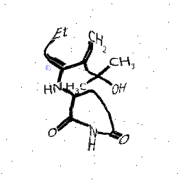 C=C(/C(=C\CC)NC1CCC(=O)NC1=O)C(C)(C)O